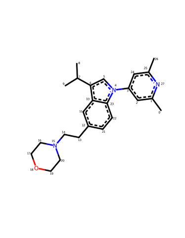 Cc1cc(-n2cc(C(C)C)c3cc(CCN4CCOCC4)ccc32)cc(C)n1